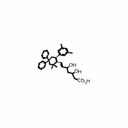 Cc1cc(C)cc([C@@H]2CC(c3ccccc3)(c3ccccc3)CC(C)(C)[C@@H]2/C=C/C(O)CC(O)CC(=O)O)c1